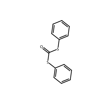 O=C(Sc1ccccc1)Sc1ccccc1